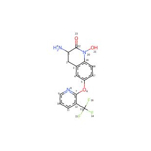 NC1Cc2cc(Oc3ncccc3C(F)(F)F)ccc2N(O)C1=O